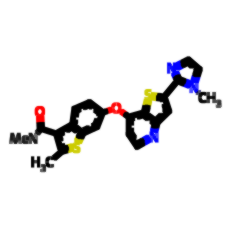 CNC(=O)c1c(C)sc2cc(Oc3ccnc4cc(-c5nccn5C)sc34)ccc12